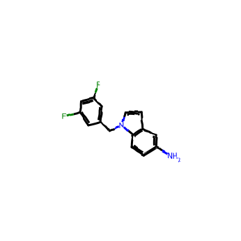 Nc1ccc2c(ccn2Cc2cc(F)cc(F)c2)c1